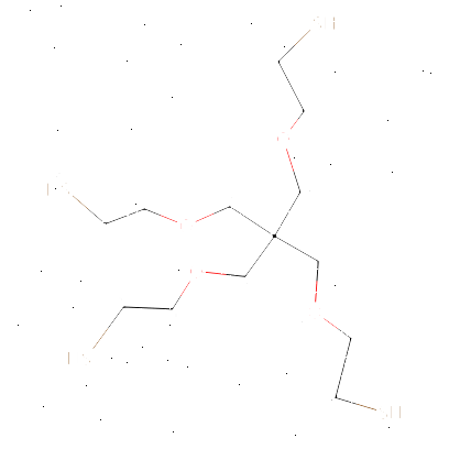 SCCOCC(COCCS)(COCCS)COCCS